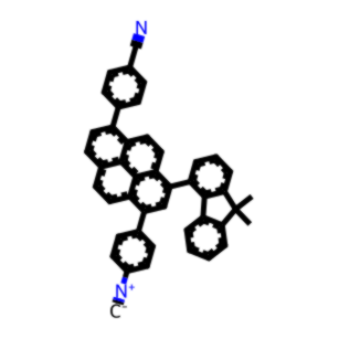 [C-]#[N+]c1ccc(-c2cc(-c3cccc4c3-c3ccccc3C4(C)C)c3ccc4c(-c5ccc(C#N)cc5)ccc5ccc2c3c54)cc1